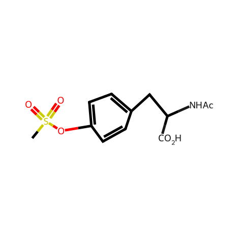 CC(=O)NC(Cc1ccc(OS(C)(=O)=O)cc1)C(=O)O